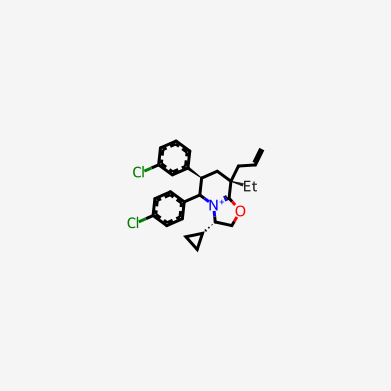 C=CC[C@@]1(CC)C[C@H](c2cccc(Cl)c2)C(c2ccc(Cl)cc2)[N+]2=C1OC[C@@H]2C1CC1